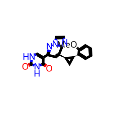 COc1ccccc1[C@@H]1C[C@H]1c1cc(-c2c[nH]c(=O)[nH]c2=O)nn2ccnc12